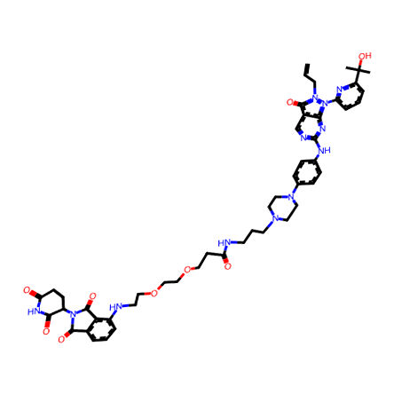 C=CCn1c(=O)c2cnc(Nc3ccc(N4CCN(CCCNC(=O)CCOCCOCCNc5cccc6c5C(=O)N(C5CCC(=O)NC5=O)C6=O)CC4)cc3)nc2n1-c1cccc(C(C)(C)O)n1